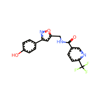 O=C(NCc1cc(-c2ccc(O)cc2)no1)c1ccc(C(F)(F)F)nc1